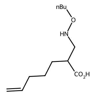 C=CCCCC(CNOCCCC)C(=O)O